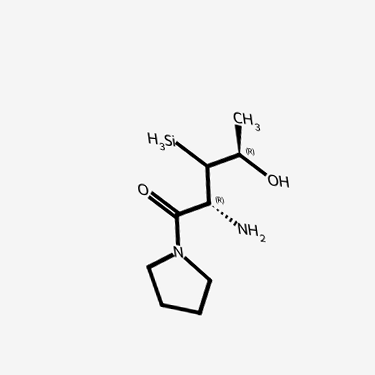 C[C@@H](O)C([SiH3])[C@H](N)C(=O)N1CCCC1